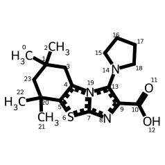 CC1(C)Cc2c(sc3nc(C(=O)O)c(N4CCCC4)n23)C(C)(C)C1